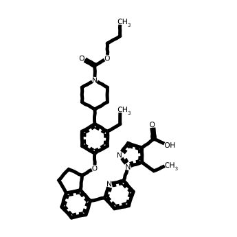 CCCOC(=O)N1CCC(c2ccc(OC3CCc4cccc(-c5cccc(-n6ncc(C(=O)O)c6CC)n5)c43)cc2CC)CC1